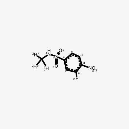 [2H]C([2H])([2H])NS(=O)(=O)c1ccc([N+](=O)[O-])c(F)c1